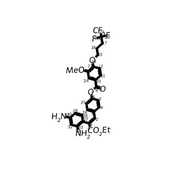 CCOC(=O)C(=Cc1ccc(OC(=O)c2ccc(OCCCC(F)(F)C(F)(F)F)c(OC)c2)cc1)c1ccc(N)cc1N